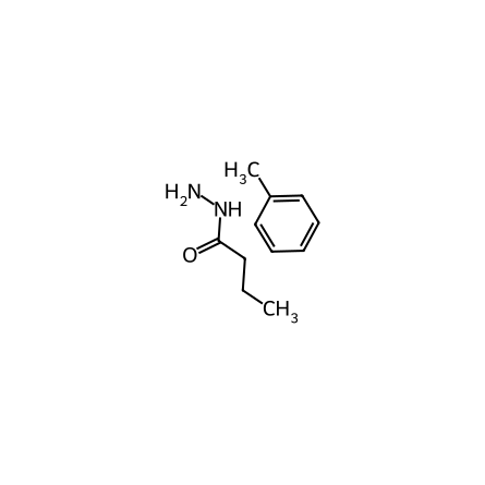 CCCC(=O)NN.Cc1ccccc1